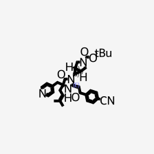 CC(C)=CCC1(Cc2ccncc2)N/C(=C\C(=O)c2ccc(C#N)cc2)N([C@H]2[C@@H]3CN(C(=O)OC(C)(C)C)C[C@@H]32)C1=O